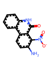 Nc1ccc2c(c1[N+](=O)[O-])c(=O)[nH]c1ccccc12